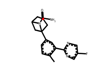 Cc1ccc(C23CCCC(C2)N3C(N)=O)cc1-c1ncc(F)cn1